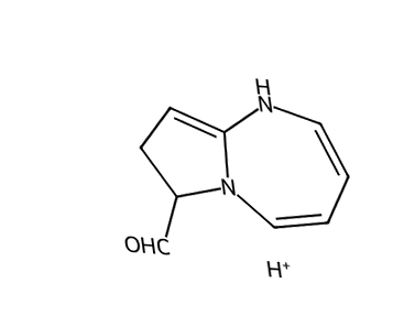 O=CC1CC=C2NC=CC=CN21.[H+]